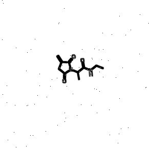 C=C1CC(=O)N(C(C)C(=O)NCC)C1=O